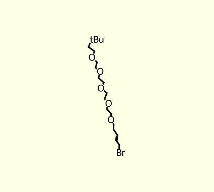 CC(C)(C)CCOCCOCCOCCOCCOCC/C=C/CBr